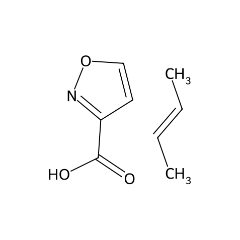 CC=CC.O=C(O)c1ccon1